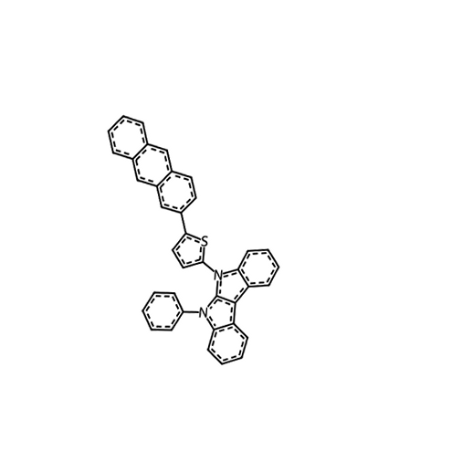 c1ccc(-n2c3ccccc3c3c4ccccc4n(-c4ccc(-c5ccc6cc7ccccc7cc6c5)s4)c32)cc1